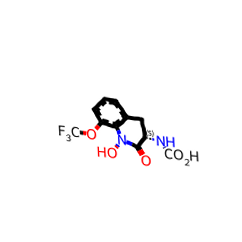 O=C(O)N[C@H]1Cc2cccc(OC(F)(F)F)c2N(O)C1=O